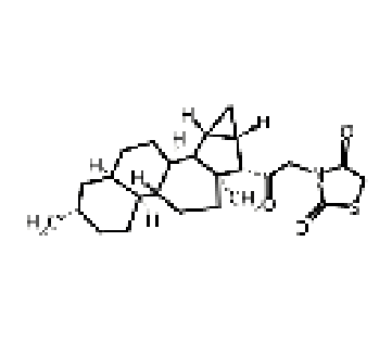 C[C@H]1CC[C@H]2[C@H](CC[C@H]3C4[C@@H]5C[C@@H]5[C@H](C(=O)CN5C(=O)CSC5=O)[C@@]4(C)CC[C@H]23)C1